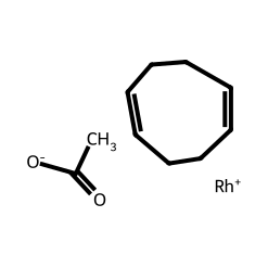 C1=CCCC=CCC1.CC(=O)[O-].[Rh+]